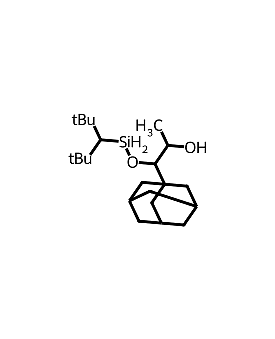 CC(O)C(O[SiH2]C(C(C)(C)C)C(C)(C)C)C12CC3CC(CC(C3)C1)C2